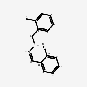 Cc1ccccc1CO/N=[C]\c1ccccc1F